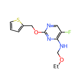 CCOCNc1nc(OCc2cccs2)ncc1F